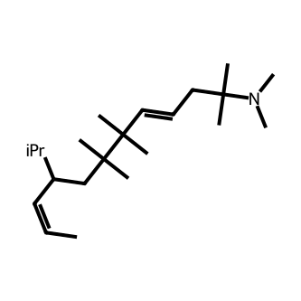 C/C=C\C(CC(C)(C)C(C)(C)/C=C/CC(C)(C)N(C)C)C(C)C